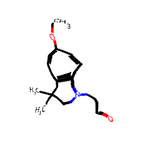 COc1ccc2c(c1)C(C)(C)CN2CC=O